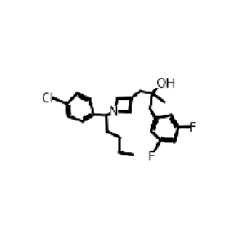 CCCCC(c1ccc(Cl)cc1)N1CC(CC(C)(O)Cc2cc(F)cc(F)c2)C1